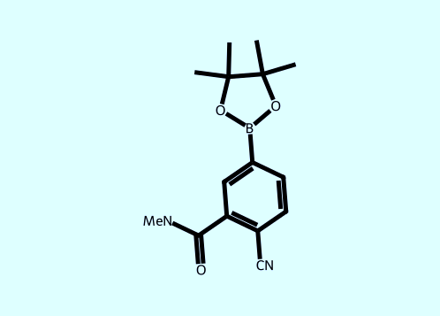 CNC(=O)c1cc(B2OC(C)(C)C(C)(C)O2)ccc1C#N